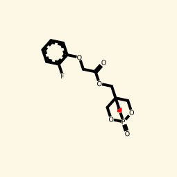 O=C(COc1ccccc1F)OCC12COP(=O)(OC1)OC2